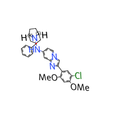 COc1cc(OC)c(-c2cn3ccc(NC4C[C@H]5CC[C@@H](C4)N5Cc4ccccc4)cc3n2)cc1Cl